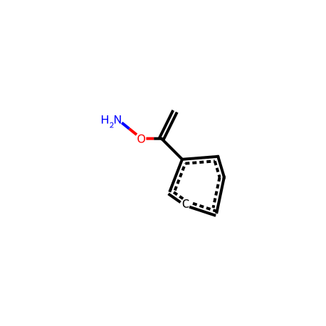 C=C(ON)c1ccccc1